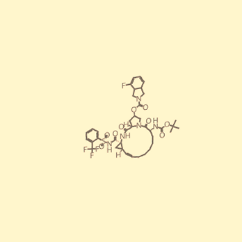 CC(C)(C)OC(=O)N[C@H]1CCCCC/C=C\[C@@H]2C[C@@]2(C(=O)NS(=O)(=O)c2ccccc2C(F)(F)F)NC(=O)[C@@H]2C[C@@H](OC(=O)N3CC4C=CC=C(F)C4C3)CN2C1=O